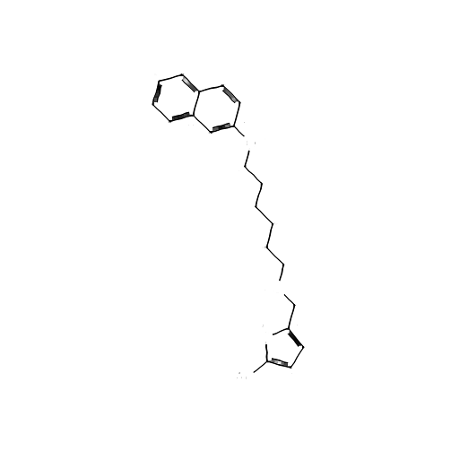 CC(=O)c1ccc(COCCCCCCOc2ccc3ccccc3c2)o1